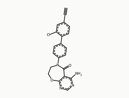 C#Cc1ccc(-c2ccc(N3CCOc4ncnc(N)c4C3=O)cc2)c(Cl)c1